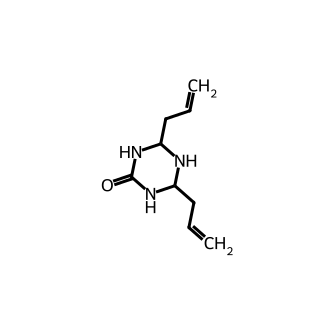 C=CCC1NC(=O)NC(CC=C)N1